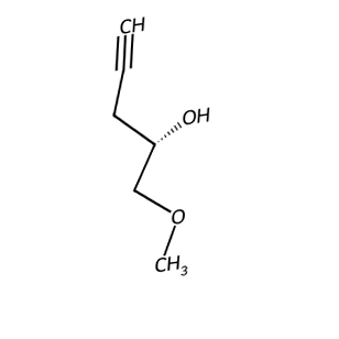 C#CC[C@H](O)COC